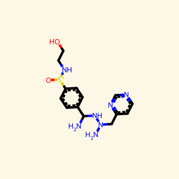 NC(NN(N)Cc1ccncn1)c1ccc([S+]([O-])NCCO)cc1